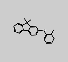 CC1CC=CC=C1Nc1ccc2c(c1)C(C)(C)c1ccccc1-2